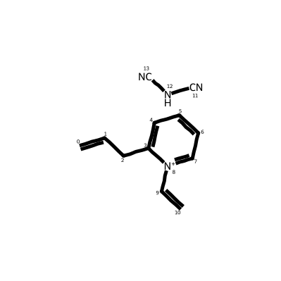 C=CCc1cccc[n+]1C=C.N#CNC#N